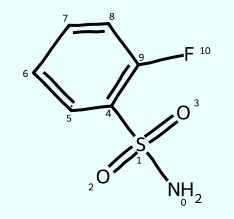 NS(=O)(=O)c1[c]cccc1F